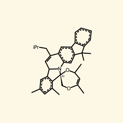 CC1=CC(C)O[C@]2(CO1)c1c(C)cc(C)cc1C1C=C(CC(C)C)c3cc4c(cc3N12)C(C)(C)c1ccccc1-4